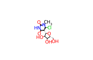 Cn1c(Cl)c([C@@H]2O[C@H](CO)C(O)C2O)c(=O)[nH]c1=O